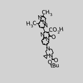 Cc1cn2nc(-c3nc4ccc(N5CCN(C(=O)OC(C)(C)C)C6(CC6)C5)cn4c(=O)c3C(=O)O)cc(C)c2n1